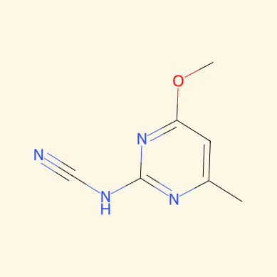 COc1cc(C)nc(NC#N)n1